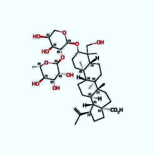 C=C(C)[C@@H]1CC[C@]2(C(=O)O)CC[C@]3(C)[C@H](CC[C@@H]4[C@@]5(C)CCC(O[C@@H]6OC[C@H](O)[C@H](O)[C@H]6O[C@@H]6O[C@@H](C)[C@H](O)[C@@H](O)[C@H]6O)C(C)(CO)[C@@H]5CC[C@]43C)[C@@H]12